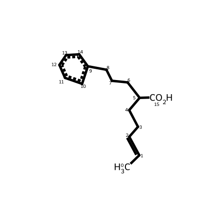 CC=CCCC(CCCc1ccccc1)C(=O)O